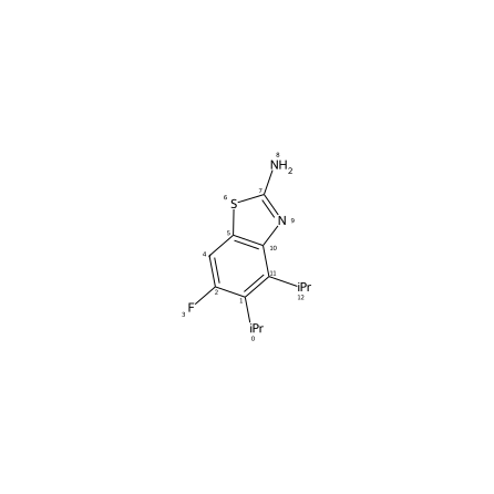 CC(C)c1c(F)cc2sc(N)nc2c1C(C)C